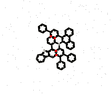 c1ccc(-c2ccc(-c3c(N(c4ccc(-c5ccccc5)c(-c5ccccc5)c4)c4ccccc4-c4cccc5c4sc4ccccc45)c4ccccc4c4ccccc34)cc2)cc1